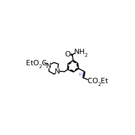 CCOC(=O)/C=C/c1cc(CN2CCN(C(=O)OCC)CC2)cc(C(N)=O)c1